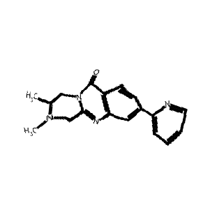 CC1Cn2c(nc3cc(-c4ccccn4)ccc3c2=O)CN1C